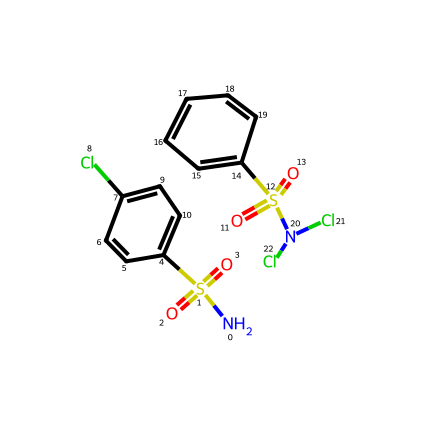 NS(=O)(=O)c1ccc(Cl)cc1.O=S(=O)(c1ccccc1)N(Cl)Cl